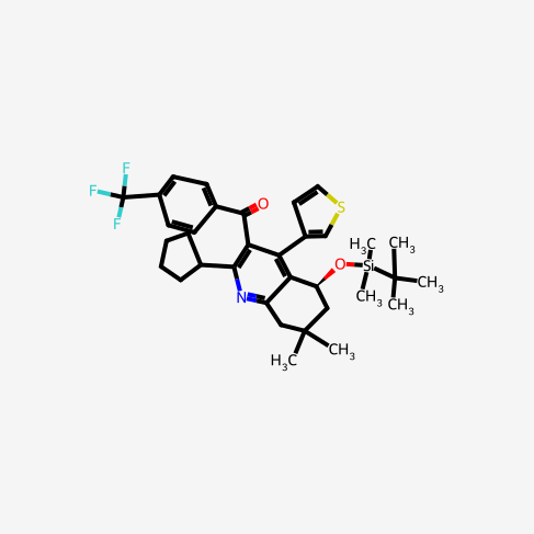 CC1(C)Cc2nc(C3CCCC3)c(C(=O)c3ccc(C(F)(F)F)cc3)c(-c3ccsc3)c2[C@@H](O[Si](C)(C)C(C)(C)C)C1